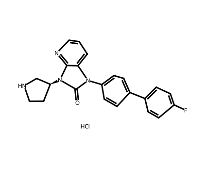 Cl.O=c1n(-c2ccc(-c3ccc(F)cc3)cc2)c2cccnc2n1[C@H]1CCNC1